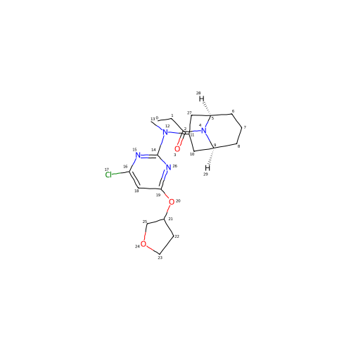 CCC(=O)N1[C@@H]2CCC[C@H]1CC(N(C)c1nc(Cl)cc(OC3CCOC3)n1)C2